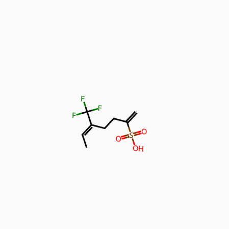 C=C(CC/C(=C\C)C(F)(F)F)S(=O)(=O)O